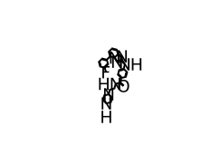 O=C(NCCN1CCNCC1)c1ccc(Nc2nc3cccc(-c4cccc(F)c4)n3n2)cc1